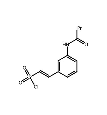 CC(C)C(=O)Nc1cccc(C=CS(=O)(=O)Cl)c1